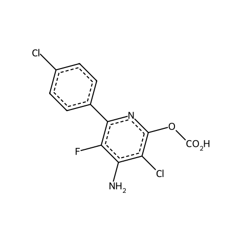 Nc1c(F)c(-c2ccc(Cl)cc2)nc(OC(=O)O)c1Cl